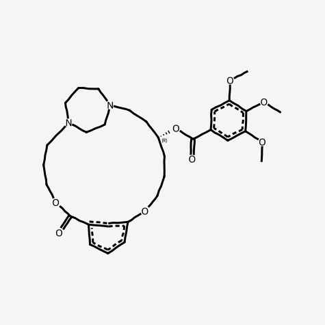 COc1cc(C(=O)O[C@@H]2CCCOc3cccc(c3)C(=O)OCCCN3CCCN(CC2)CC3)cc(OC)c1OC